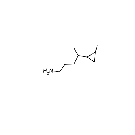 CC(CCCN)C1CC1C